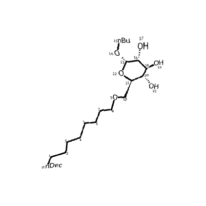 CCCCCCCCCCCCCCCCCCOC[C@H]1O[C@H](OCCCC)[C@H](O)[C@@H](O)[C@@H]1O